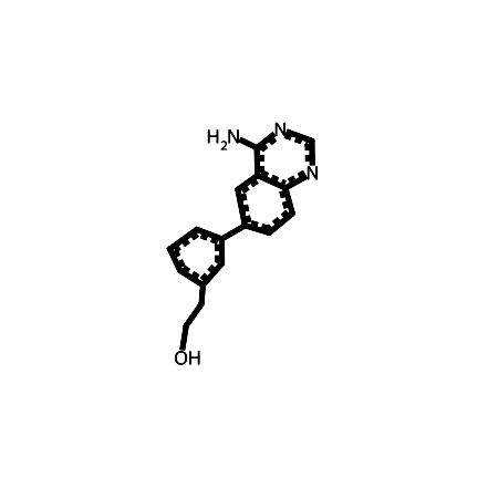 Nc1ncnc2ccc(-c3cccc(CCO)c3)cc12